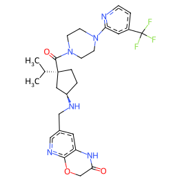 CC(C)[C@]1(C(=O)N2CCN(c3cc(C(F)(F)F)ccn3)CC2)CC[C@@H](NCc2cnc3c(c2)NC(=O)CO3)C1